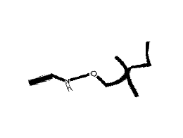 C[CH]NOCC(C)(C)CC